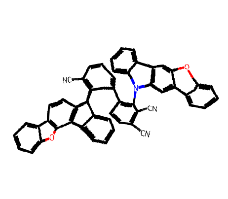 N#Cc1ccc(-c2cccc(C#N)c2C2c3ccccc3-c3c2ccc2c3oc3ccccc32)c(-n2c3ccccc3c3cc4oc5ccccc5c4cc32)c1C#N